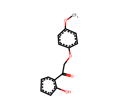 O=C(COc1ccc(OC(F)(F)F)cc1)c1ccccc1O